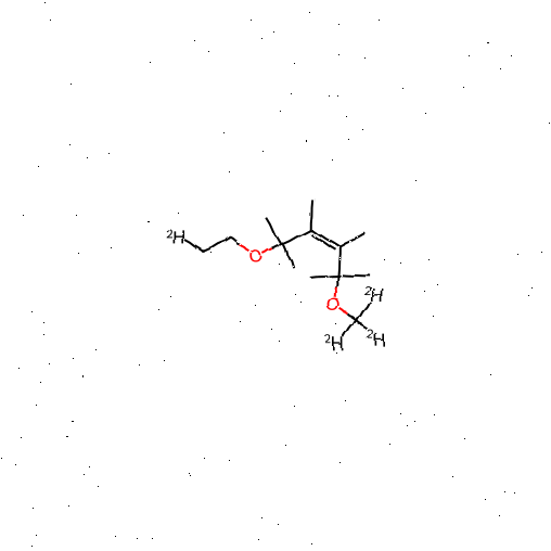 [2H]CCOC(C)(C)/C(C)=C(/C)C(C)(C)OC([2H])([2H])[2H]